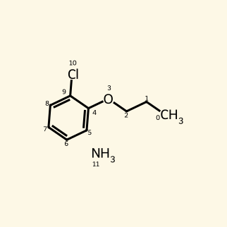 CCCOc1ccccc1Cl.N